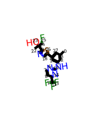 Cc1cc(Nc2nccc(C(F)(F)F)n2)cc(-c2cnc(C(C)(O)CF)s2)c1